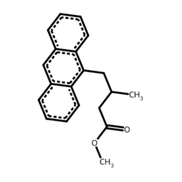 COC(=O)CC(C)Cc1c2ccccc2cc2ccccc12